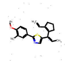 C=CC1=C(/C(=C\C)c2cnc(-c3ccc(OC(C)C)c(C#N)c3)s2)CCC1